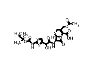 CCC(C)(C)OC(=O)Nc1nc(C(O)C(=O)N[C@@H]2C(=O)N3C(C(=O)O)=C(COC(C)=O)CS[C@H]23)cs1